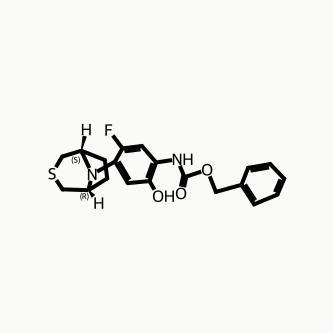 O=C(Nc1cc(F)c(N2[C@@H]3CC[C@H]2CSC3)cc1O)OCc1ccccc1